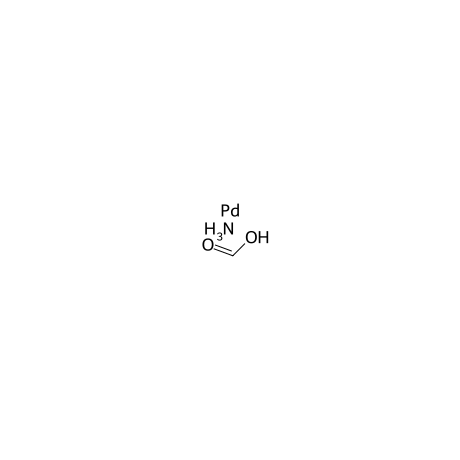 N.O=CO.[Pd]